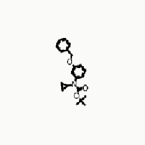 CC(C)(C)OC(=O)N(c1cccc(OCc2ccccc2)c1)C1CC1